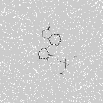 CCC(CC)C1CC1(COc1c(-c2cccc3c2CCC3=O)ccc(OC)c1OC)C(=O)O